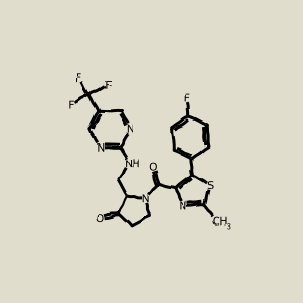 Cc1nc(C(=O)N2CCC(=O)C2CNc2ncc(C(F)(F)F)cn2)c(-c2ccc(F)cc2)s1